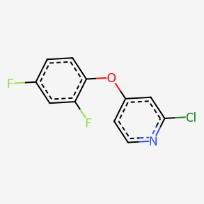 Fc1ccc(Oc2ccnc(Cl)c2)c(F)c1